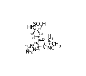 [C-]#[N+]C(C)(C)c1cc(Cn2cncn2)cc(-c2ccc(NS(=O)(=O)O)cc2)c1